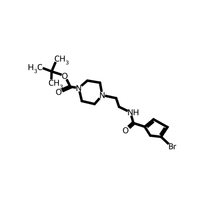 CC(C)(C)OC(=O)N1CCN(CCNC(=O)C2=CC=C(Br)C2)CC1